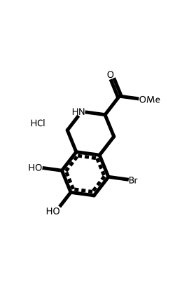 COC(=O)C1Cc2c(Br)cc(O)c(O)c2CN1.Cl